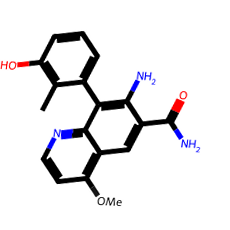 COc1ccnc2c(-c3cccc(O)c3C)c(N)c(C(N)=O)cc12